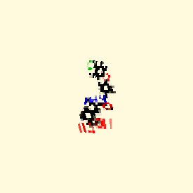 Cc1cc(Oc2ccc(CNC(=O)C(C#N)=Cc3cccc(O)c3O)cc2)cc(C)c1Cl